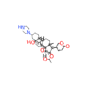 CC(=O)O[C@H]1[C@H]2O[C@]23[C@@H]2CC[C@]4(O)CC(N5CCNCC5)CC[C@]4(C)[C@H]2CC[C@]3(C)[C@H]1c1ccc(=O)oc1